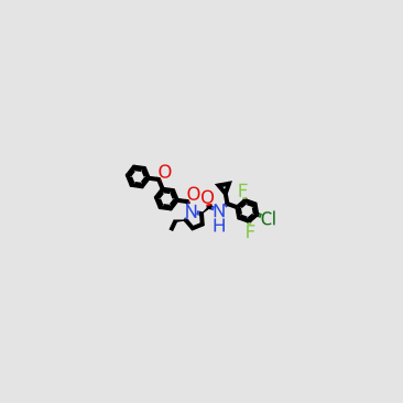 CC[C@@H]1CC[C@H](C(=O)NC(c2cc(F)c(Cl)cc2F)C2CC2)N1C(=O)c1cccc(C(=O)c2ccccc2)c1